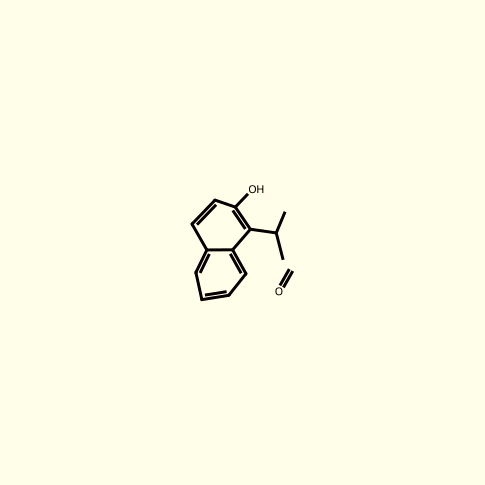 C=O.CC(C)c1c(O)ccc2ccccc12